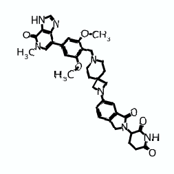 COc1cc(-c2cn(C)c(=O)c3[nH]cnc23)cc(OC)c1CN1CCC2(CC1)CN(c1ccc3c(c1)C(=O)N(C1CCC(=O)NC1=O)C3)C2